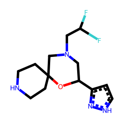 FC(F)CN1CC(c2cc[nH]n2)OC2(CCNCC2)C1